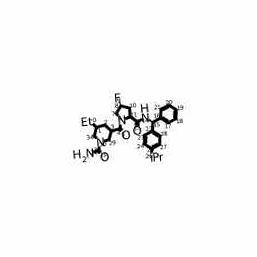 CCC1CC(C(=O)N2C[C@H](F)CC2C(=O)N[C@@H](c2ccccc2)c2ccc(C(C)C)cc2)CN(C(N)=O)C1